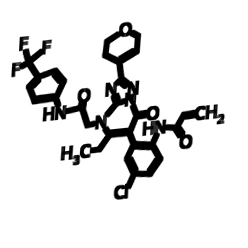 C=CC(=O)Nc1ccc(Cl)cc1-c1c(CC)n(CC(=O)Nc2ccc(C(F)(F)F)cc2)c2nc(C3=CCOCC3)nn2c1=O